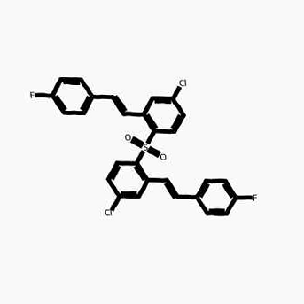 O=S(=O)(c1ccc(Cl)cc1C=Cc1ccc(F)cc1)c1ccc(Cl)cc1C=Cc1ccc(F)cc1